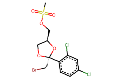 CS(=O)(=O)OC[C@@H]1CO[C@](CBr)(c2ccc(Cl)cc2Cl)O1